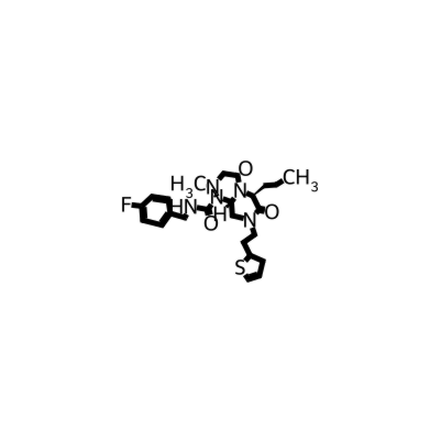 CCC[C@H]1C(=O)N(CCC2CC=CS2)C[C@H]2N1C(=O)CN(C)N2C(=O)NCc1ccc(F)cc1